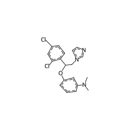 CN(C)c1cccc(OC(Cn2ccnc2)c2ccc(Cl)cc2Cl)c1